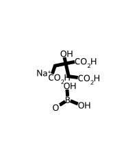 O=C(O)CC(O)(CC(=O)O)C(=O)O.[Na+].[O-]B(O)O